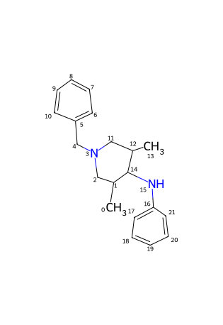 CC1CN(Cc2ccccc2)CC(C)C1Nc1ccccc1